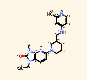 Cn1c(=O)n(CC(C)(C)C)c2ccc(N3CCCC(CNc4ccnc(C#N)c4)C3)nc21